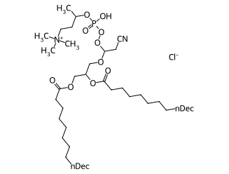 CCCCCCCCCCCCCCCCCC(=O)OCC(COC(CC#N)OOP(=O)(O)OC(C)CC[N+](C)(C)C)OC(=O)CCCCCCCCCCCCCCCCC.[Cl-]